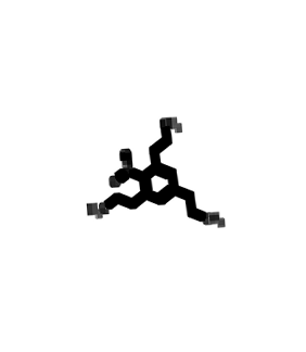 CCCc1cc(CCC)c([SH](=O)=O)c(CCC)c1